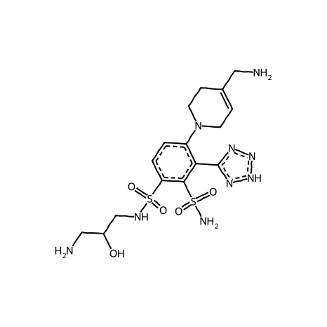 NCC1=CCN(c2ccc(S(=O)(=O)NCC(O)CN)c(S(N)(=O)=O)c2-c2nn[nH]n2)CC1